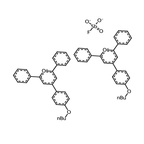 CCCCOc1ccc(-c2cc(-c3ccccc3)[o+]c(-c3ccccc3)c2)cc1.CCCCOc1ccc(-c2cc(-c3ccccc3)[o+]c(-c3ccccc3)c2)cc1.[O]=[Sb]([O-])([O-])[F]